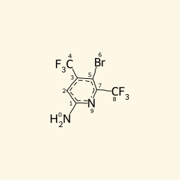 Nc1cc(C(F)(F)F)c(Br)c(C(F)(F)F)n1